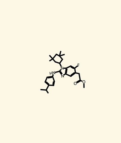 COC(=O)Cc1cc2nc(Nc3ccc(C(C)C)cc3)n(C3CC(C)(C)CC(C)(C)C3)c2cc1F